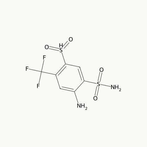 Nc1cc(C(F)(F)F)c([SH](=O)=O)cc1S(N)(=O)=O